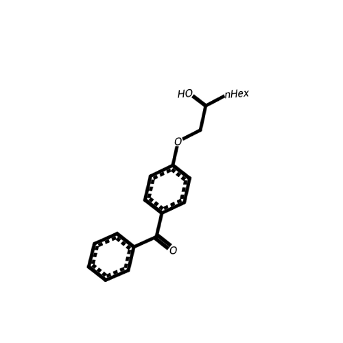 CCCCCCC(O)COc1ccc(C(=O)c2ccccc2)cc1